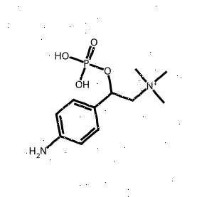 C[N+](C)(C)CC(OP(=O)(O)O)c1ccc(N)cc1